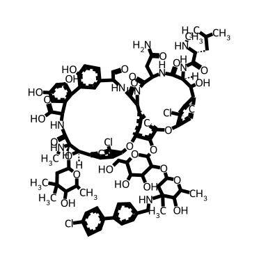 CN[C@@H]1C(=O)NC(C(=O)O)c2cc(O)cc(O)c2-c2cc(ccc2O)C(C=O)NC(=O)C2NC(=O)C(CC(N)=O)NC(=O)[C@@H](NC(=O)[C@@H](CC(C)C)NC)C(O)c3ccc(c(Cl)c3)Oc3cc2cc(c3OC2OC(CO)C(O)C(O)C2OC2CC(C)(NCc3ccc(-c4ccc(Cl)cc4)cc3)C(O)C(C)O2)Oc2ccc(cc2Cl)[C@H]1OC1CC(C)(C)C(O)C(C)O1